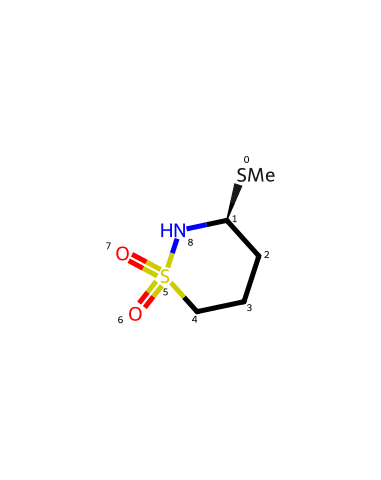 CS[C@H]1CCCS(=O)(=O)N1